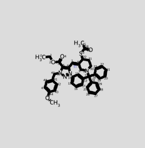 CCOC(=O)c1c(/C=C2\CN(C(c3ccccc3)(c3ccccc3)c3ccccc3)CCC2SC(C)=O)nnn1Cc1ccc(OC)cc1